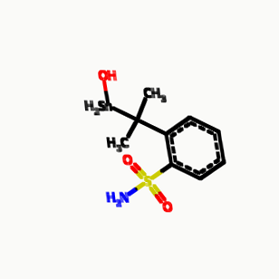 C[C](C)([SnH2][OH])c1ccccc1S(N)(=O)=O